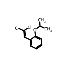 CC(C)Oc1ccccc1C=C(Cl)Cl